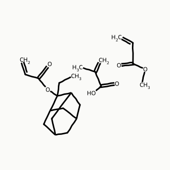 C=C(C)C(=O)O.C=CC(=O)OC.C=CC(=O)OC1(CC)C2CC3CC(C2)CC1C3